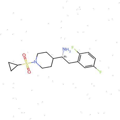 N[C@H](Cc1cc(F)ccc1F)C1CCN(S(=O)(=O)C2CC2)CC1